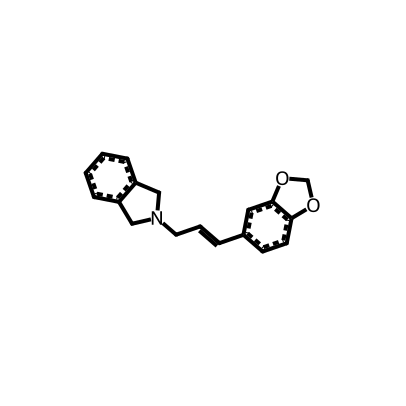 C(=Cc1ccc2c(c1)OCO2)CN1Cc2ccccc2C1